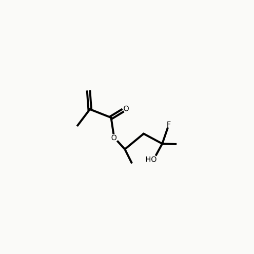 C=C(C)C(=O)OC(C)CC(C)(O)F